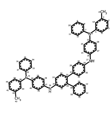 Cc1cccc(N(c2ccccc2)c2ccc(Nc3ccc(-c4ccc(Nc5ccc(N(c6ccccc6)c6cccc(C)c6)cc5)cc4-c4ccccc4)cc3)cc2)c1